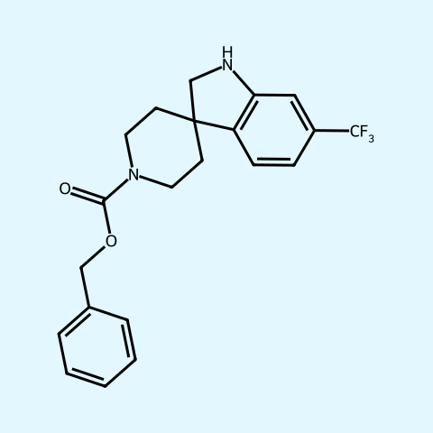 O=C(OCc1ccccc1)N1CCC2(CC1)CNc1cc(C(F)(F)F)ccc12